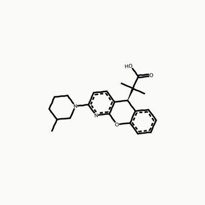 CC1CCCN(c2ccc3c(n2)Oc2ccccc2[C@@H]3C(C)(C)C(=O)O)C1